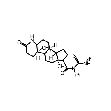 CC(C)NC(=S)N(C(=O)C1CC[C@H]2[C@@H]3CCC4NC(=O)CC[C@]4(C)[C@@H]3CC[C@]12C)C(C)C